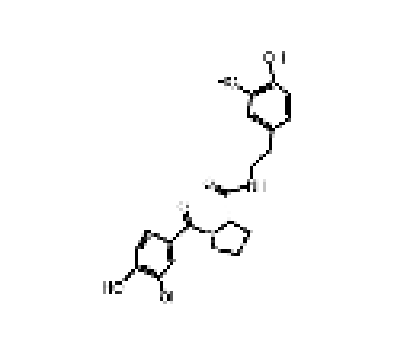 O=C(NCCc1ccc(O)c(O)c1)[C@@H]1CCCN1C(=O)c1ccc(O)c(O)c1